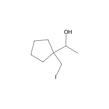 CC(O)C1(CI)CCCC1